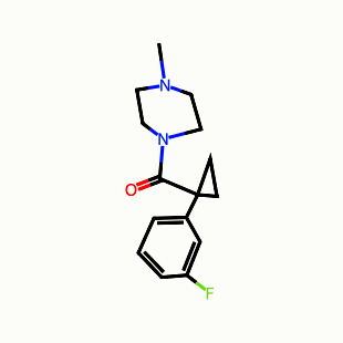 CN1CCN(C(=O)C2(c3cccc(F)c3)CC2)CC1